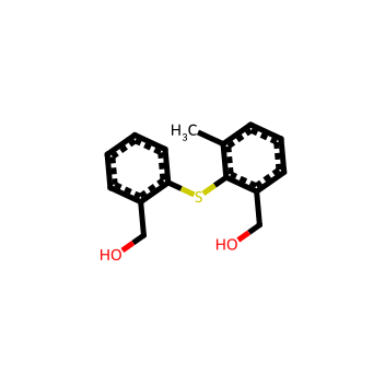 Cc1cccc(CO)c1Sc1ccccc1CO